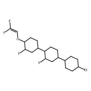 CCC1CCC(C2CCC(C3CCC(OC=C(F)F)C(F)C3)C(F)C2)CC1